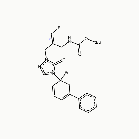 CC(C)(C)OC(=O)NC/C(=C\F)Cn1ncn(C2(Br)C=CC=C(c3ccccc3)C2)c1=O